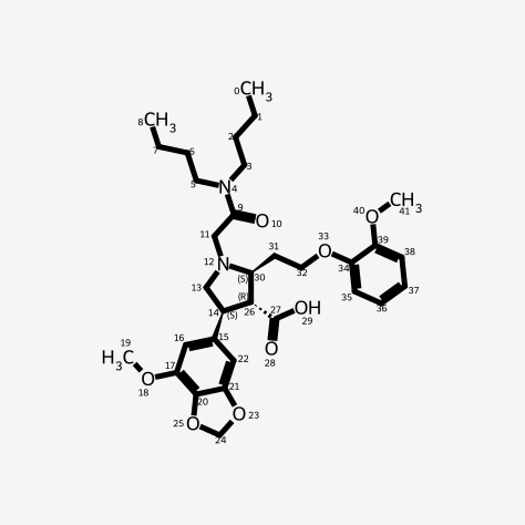 CCCCN(CCCC)C(=O)CN1C[C@H](c2cc(OC)c3c(c2)OCO3)[C@@H](C(=O)O)[C@@H]1CCOc1ccccc1OC